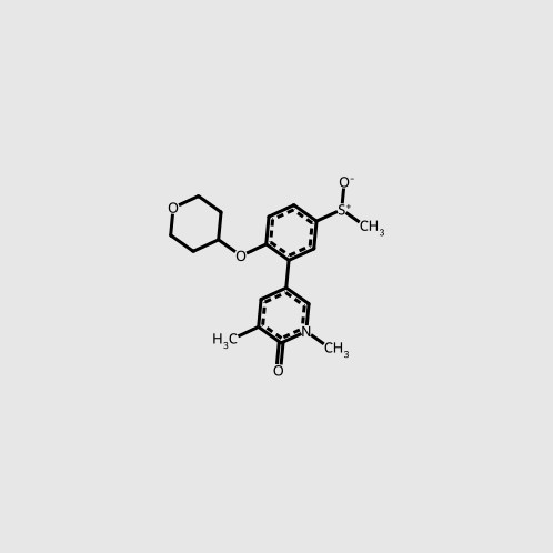 Cc1cc(-c2cc([S+](C)[O-])ccc2OC2CCOCC2)cn(C)c1=O